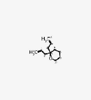 C=CCC1(CC=C)CCCCO1